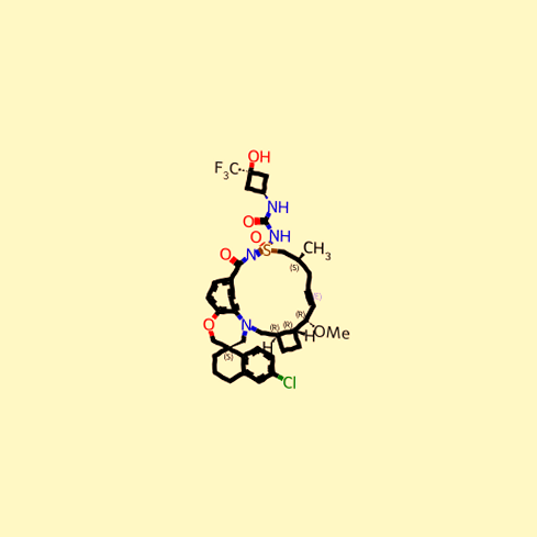 CO[C@H]1/C=C/C[C@H](C)CS(=O)(NC(=O)N[C@H]2C[C@@](O)(C(F)(F)F)C2)=NC(=O)c2ccc3c(c2)N(C[C@@H]2CC[C@H]21)C[C@@]1(CCCc2cc(Cl)ccc21)CO3